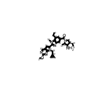 CCc1cc(C(=O)N2C[C@@H](CC)C(N)C2C)cc2nc(-c3cc4cnc(OC)nc4n3CC3CC3)n(C)c12